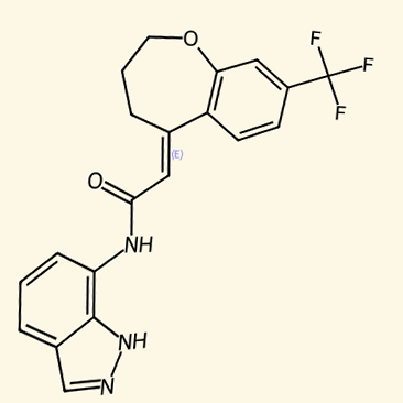 O=C(/C=C1\CCCOc2cc(C(F)(F)F)ccc21)Nc1cccc2cn[nH]c12